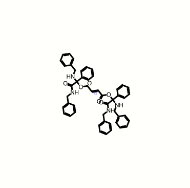 O=C(/C=C/C(=O)OC(NCc1ccccc1)(C(=O)NCc1ccccc1)c1ccccc1)OC(NCc1ccccc1)(C(=O)NCc1ccccc1)c1ccccc1